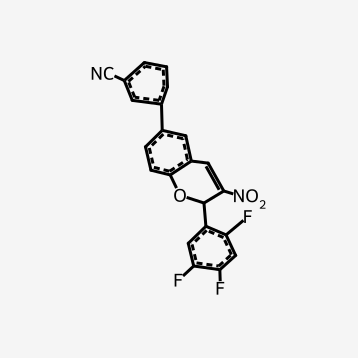 N#Cc1cccc(-c2ccc3c(c2)C=C([N+](=O)[O-])C(c2cc(F)c(F)cc2F)O3)c1